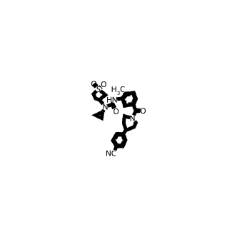 Cc1ccc(C(=O)N2CCC(c3ccc(C#N)cc3)CC2)cc1NC(=O)N(C1CC1)C1CCS(=O)(=O)C1